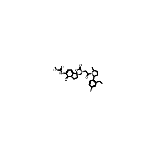 CCc1cc(F)ccc1C1CCC(C)N1C(=O)CN1C[C@]2(CCC3C(=O)C(NC(=O)NC)=CC=C32)OC1=O